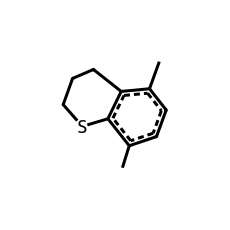 Cc1ccc(C)c2c1CCCS2